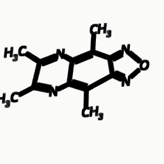 Cc1nc2c(C)c3nonc3c(C)c2nc1C